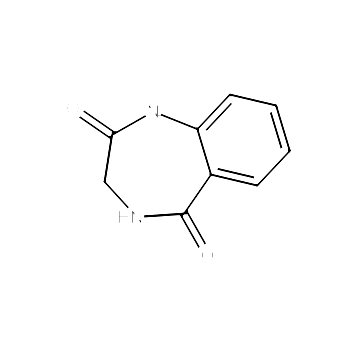 O=C1CNC(=O)c2ccccc2[N]1